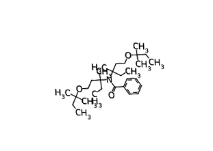 CCC(C)(C)OCCC(C)(CC)N(C(=O)c1ccccc1)C(C)(CC)CCOC(C)(C)CC